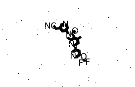 Cc1cc(-c2cncc(OC(F)F)c2)nc2c1C(=O)N(c1cncc(CC#N)c1)C2